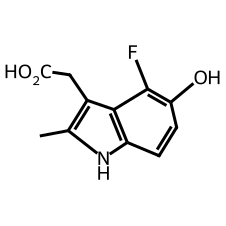 Cc1[nH]c2ccc(O)c(F)c2c1CC(=O)O